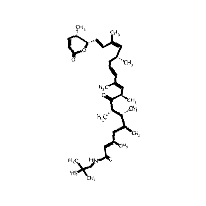 CC(=C/[C@H](C)C/C=C/C(C)=C/[C@@H](C)C(=O)[C@@H](C)[C@H](O)C(C)C/C(C)=C/C(=O)NCC(C)(C)S)/C=C/[C@@H]1OC(=O)C=C[C@@H]1C